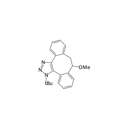 COC1Cc2ccccc2-c2nnn(C(C)(C)C)c2-c2ccccc21